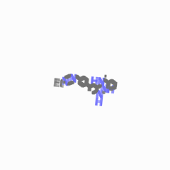 CCN1CCN(Cc2ccc(C(C)CC3C(C)NCNC3N[C@H](C)c3ccccc3)cc2)CC1